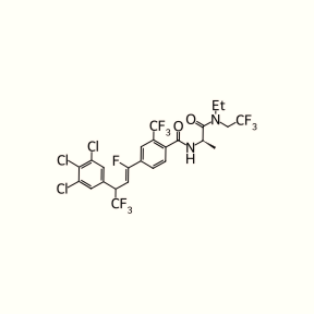 CCN(CC(F)(F)F)C(=O)[C@@H](C)NC(=O)c1ccc(/C(F)=C/C(c2cc(Cl)c(Cl)c(Cl)c2)C(F)(F)F)cc1C(F)(F)F